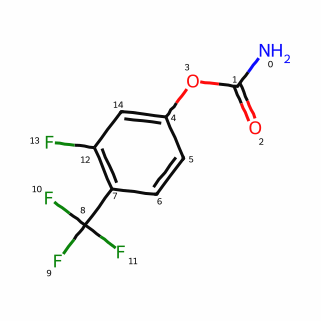 NC(=O)Oc1ccc(C(F)(F)F)c(F)c1